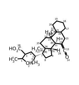 CC(O)C(CC(C)[C@H]1CC[C@H]2[C@@H]3C(=C=O)CC4CCCC[C@]4(C)[C@H]3CC[C@]12C)C(=O)O